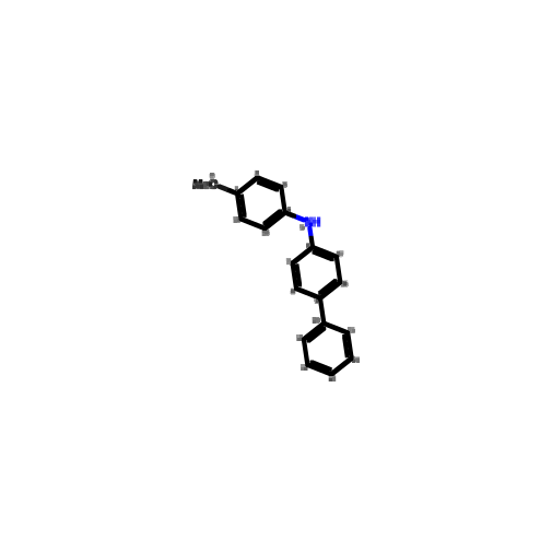 COc1ccc(Nc2ccc(-c3ccccc3)cc2)cc1